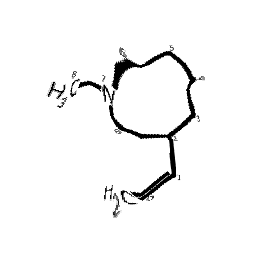 C=CC1CCCCN(C)C1